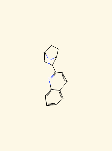 c1ccc2nc(C3CC4CCC3N4)ccc2c1